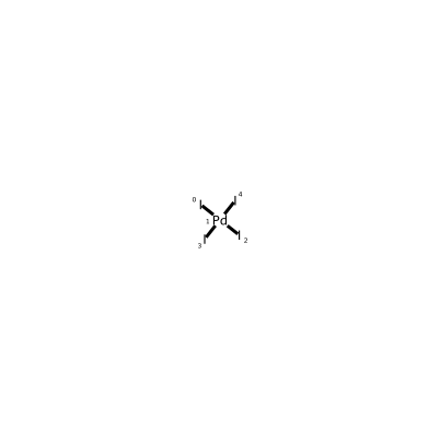 [I][Pd]([I])([I])[I]